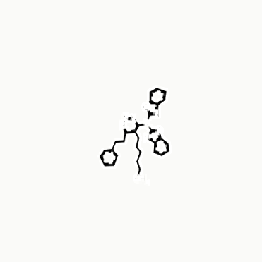 CCCCCCc1c(CCc2ccccc2)nnnc1N(c1nc2ccccc2o1)c1nc2ccccc2o1